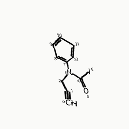 C#CCN(C(=O)I)c1ccccc1